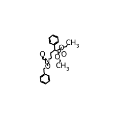 CCOP(=O)(OCC)C(CCN(C=O)OCc1ccccc1)c1ccccc1